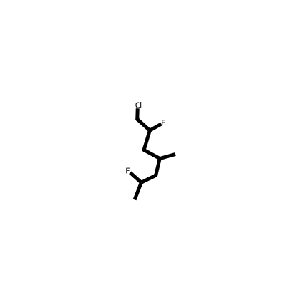 CC(F)CC(C)CC(F)CCl